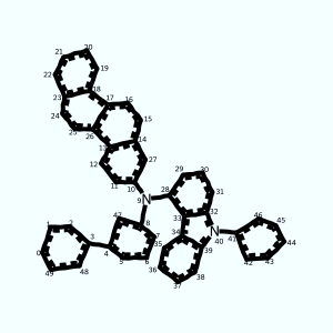 c1ccc(-c2cccc(N(c3ccc4c(ccc5c6ccccc6ccc45)c3)c3cccc4c3c3ccccc3n4-c3ccccc3)c2)cc1